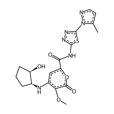 COc1c(N[C@H]2CCC[C@H]2O)cc(C(=O)Nc2nnc(-n3nccc3C)s2)oc1=O